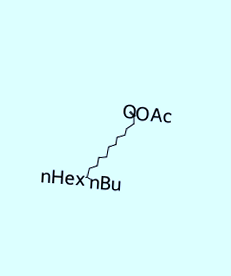 CCCCCCC(CCCC)CCCCCCCCCCC(=O)OC(C)=O